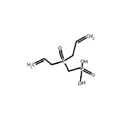 C=CCP(=O)(CC=C)CP(=O)(O)O